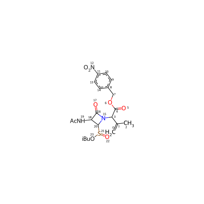 C=C(C)C(C(=O)OCc1ccc([N+](=O)[O-])cc1)N1C(=O)C(NC(C)=O)C1S(=O)OCC(C)C